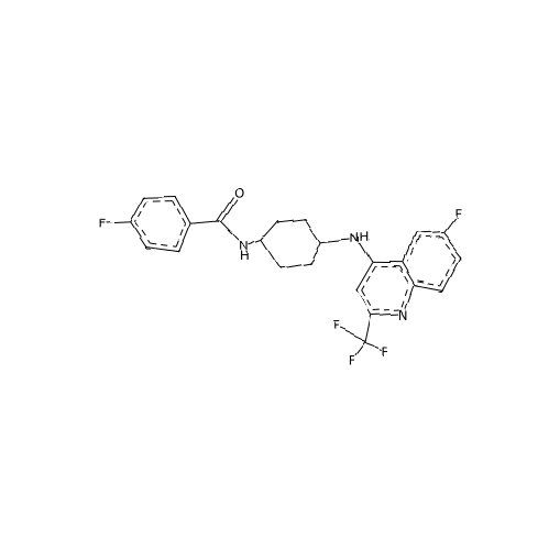 O=C(NC1CCC(Nc2cc(C(F)(F)F)nc3ccc(F)cc23)CC1)c1ccc(F)cc1